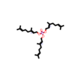 CC(C)=CCC/C(C)=C/COP(=O)(OC/C=C(\C)CCC=C(C)C)OC/C=C(\C)CCC=C(C)C